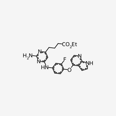 CCOC(=O)CCCc1cc(Nc2ccc(Oc3ccnc4[nH]ccc34)c(F)c2)nc(N)n1